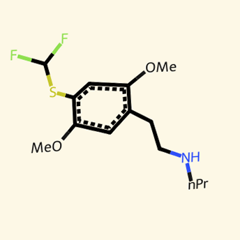 CCCNCCc1cc(OC)c(SC(F)F)cc1OC